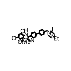 CCN1CCN(Cc2ccc(-c3ccc4c(Nc5cc(OC)c(Cl)cc5Cl)c(C#N)cnc4c3)cc2)C(I)C1